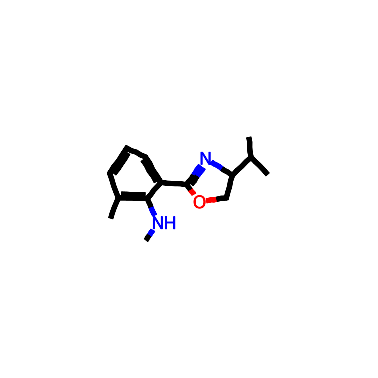 CNc1c(C)cccc1C1=NC(C(C)C)CO1